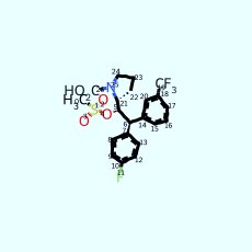 CS(=O)(=O)O[C@@H]([C@H](c1ccc(F)cc1)c1cccc(C(F)(F)F)c1)[C@H]1CCCN1C(=O)O